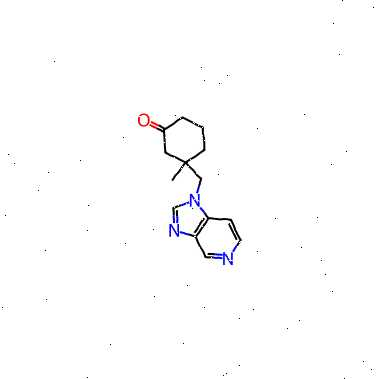 CC1(Cn2cnc3cnccc32)CCCC(=O)C1